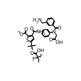 COC(=O)c1sc(C(C)(C)C)cc1C(N)=O.NCc1cccc(C(=O)N(CC(=O)O)c2ccccc2)c1.O=C(O)C(F)(F)F